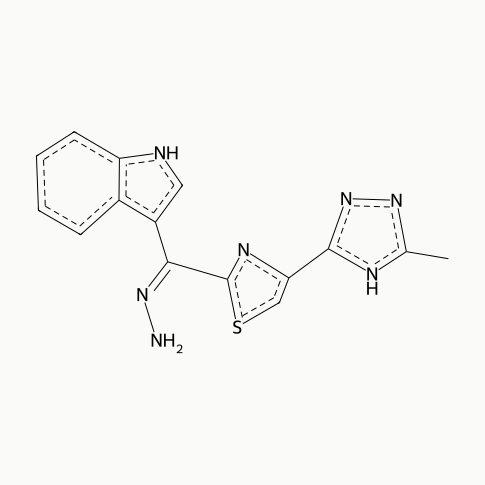 Cc1nnc(-c2csc(C(=NN)c3c[nH]c4ccccc34)n2)[nH]1